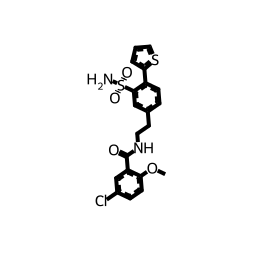 COc1ccc(Cl)cc1C(=O)NCCc1ccc(-c2cccs2)c(S(N)(=O)=O)c1